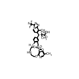 Cc1cnc2c(c1)S(=O)(=O)N(Cc1cc([C@H](c3ccn4c(C(F)(F)F)nnc4c3C)C(C)(C)C(=O)O)ccc1C)CCCNCCO2